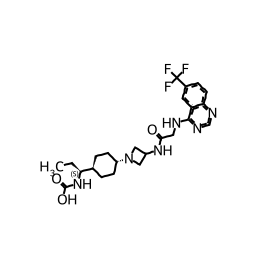 CC[C@H](NC(=O)O)[C@H]1CC[C@H](N2CC(NC(=O)CNc3ncnc4ccc(C(F)(F)F)cc34)C2)CC1